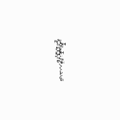 CCOCCOCCCCCNC(=O)N[C@@H]1CCC[C@H](Nc2nc(-c3c[nH]c4ncc(F)cc34)ncc2F)C1